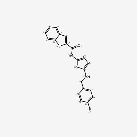 O=C(Nc1nnc(NCc2ccc(F)cc2)s1)c1cc2ccccc2s1